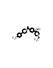 C=C(c1ccc(C2(OCC)CCN(CC(F)(F)F)CC2)cc1)N1CCC(c2ccc(C(F)(F)F)cc2)CC1